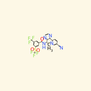 CC(NC(=O)c1cc(C(F)(F)F)cc(S(=O)(=O)C(F)(F)F)c1)c1nccnc1-c1ccc(C#N)cn1